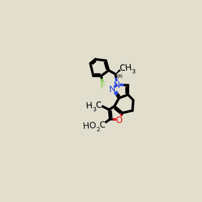 Cc1c(C(=O)O)oc2c1-c1nn([C@H](C)c3ccccc3F)cc1CC2